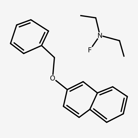 CCN(F)CC.c1ccc(COc2ccc3ccccc3c2)cc1